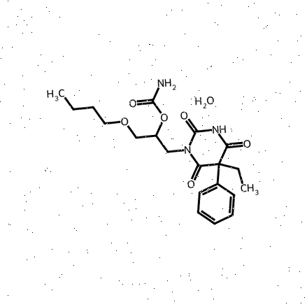 CCCCOCC(CN1C(=O)NC(=O)C(CC)(c2ccccc2)C1=O)OC(N)=O.O